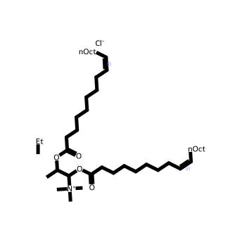 CCC.CCCCCCCC/C=C\CCCCCCCC(=O)OC(C)C(OC(=O)CCCCCCC/C=C\CCCCCCCC)[N+](C)(C)C.[Cl-]